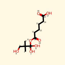 CC(C)(CO)C(O)(O)OC(=O)CCCCC(=O)O